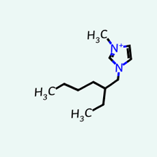 CCCCC(CC)Cn1cc[n+](C)c1